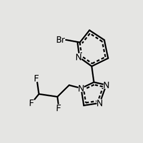 FC(F)C(F)Cn1cnnc1-c1cccc(Br)n1